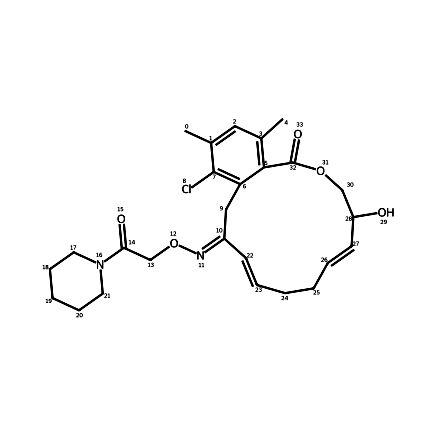 Cc1cc(C)c2c(c1Cl)CC(=N\OCC(=O)N1CCCCC1)/C=C/CC/C=C/C(O)COC2=O